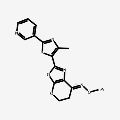 CCCO/N=C1\CCOc2oc(-c3sc(-c4cccnc4)nc3C)nc21